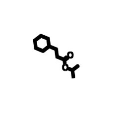 CC(C)OC(=O)CCC1CCCCC1